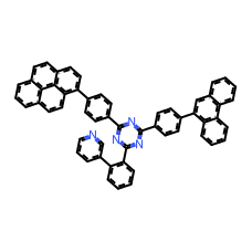 c1cncc(-c2ccccc2-c2nc(-c3ccc(-c4cc5ccccc5c5ccccc45)cc3)nc(-c3ccc(-c4ccc5ccc6cccc7ccc4c5c67)cc3)n2)c1